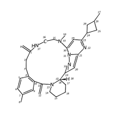 C=C1CCc2ccc(C)cc2C(=C)N2CCCC[C@H]2c2cc3nc(C4CC(C)C4)cc(n3n2)N(C)CCN1